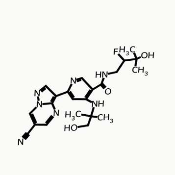 CC(C)(CO)Nc1cc(-c2cnn3cc(C#N)cnc23)ncc1C(=O)NCC(F)C(C)(C)O